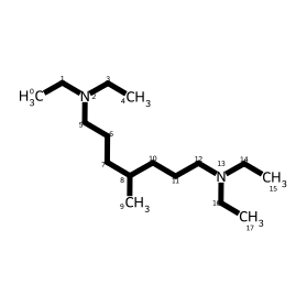 CCN(CC)CCC[C](C)CCCN(CC)CC